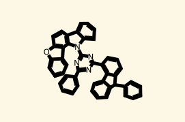 c1ccc(-c2nc(-c3cccc4c3-c3ccccc3C4c3ccccc3)nc(-n3c4ccccc4c4ccc5oc6ccccc6c5c43)n2)cc1